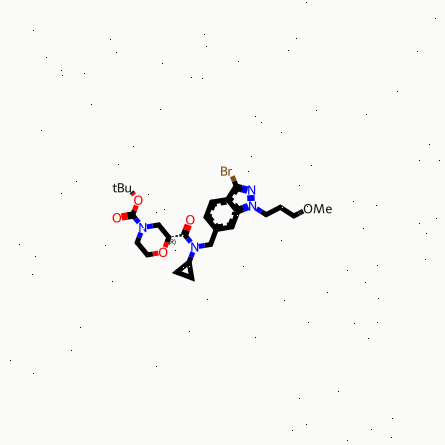 COCCCn1nc(Br)c2ccc(CN(C(=O)[C@H]3CN(C(=O)OC(C)(C)C)CCO3)C3CC3)cc21